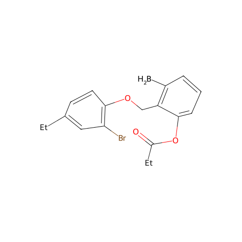 Bc1cccc(OC(=O)CC)c1COc1ccc(CC)cc1Br